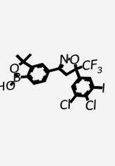 CC1(C)OB(O)c2ccc(C3=NOC(c4cc(Cl)c(Cl)c(I)c4)(C(F)(F)F)C3)cc21